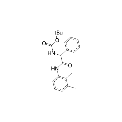 Cc1cccc(NC(=O)C(NC(=O)OC(C)(C)C)c2ccccc2)c1C